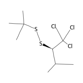 CC(C)[C@@H](SSC(C)(C)C)C(Cl)(Cl)Cl